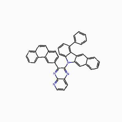 c1ccc(-c2cccc3c2c2cc4ccccc4cc2n3-c2nc3cccnc3nc2-c2ccc3ccc4ccccc4c3c2)cc1